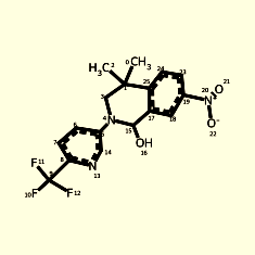 CC1(C)CN(c2ccc(C(F)(F)F)nc2)C(O)c2cc([N+](=O)[O-])ccc21